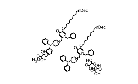 CCCCCCCCCCCCCCCCCCOc1cn(Cc2ccccc2)c(CN2CCN(C(c3ccccc3)c3ccccc3)CC2)cc1=O.CCCCCCCCCCCCCCCCCCOc1cn(Cc2ccccc2)c(CN2CCN(C(c3ccccc3)c3ccccc3)CC2)cc1=O.O.O=C(O)C(=O)O.O=C(O)C(=O)O.O=C(O)C(=O)O